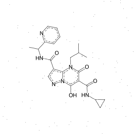 CC(C)Cn1c(=O)c(C(=O)NC2CC2)c(O)n2ncc(C(=O)NC(C)c3ccccn3)c12